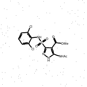 COC(=O)c1c(S(=O)(=O)Nc2c(Cl)cccc2Cl)n[nH]c1NC(C)=O